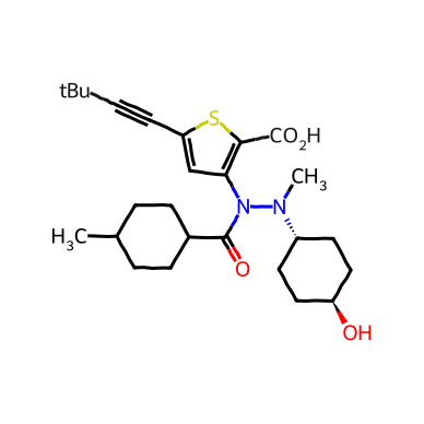 CC1CCC(C(=O)N(c2cc(C#CC(C)(C)C)sc2C(=O)O)N(C)[C@H]2CC[C@H](O)CC2)CC1